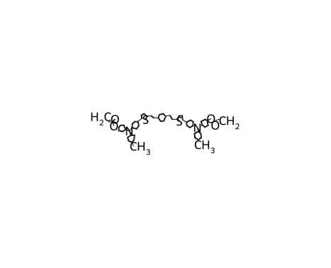 C=CC(=O)Oc1ccc(N(c2ccc(C)cc2)c2ccc(-c3ccc(C=Cc4ccc(C=Cc5ccc(-c6ccc(N(c7ccc(C)cc7)c7ccc(OC(=O)C=C)cc7)cc6)s5)cc4)s3)cc2)cc1